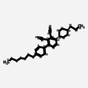 CCCCCCCc1ccc(-c2ccc([C@H]3CC[C@H](CCC)CC3)c(C#N)c2C#N)cc1